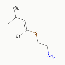 CC/C(=C\C(C)C(C)(C)C)SCCN